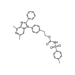 Cc1ccc(S(=O)(=O)NC(=O)OCCc2ccc(-n3c(-c4ccccc4)nc4c(C)nc(C)cc43)cc2)cc1